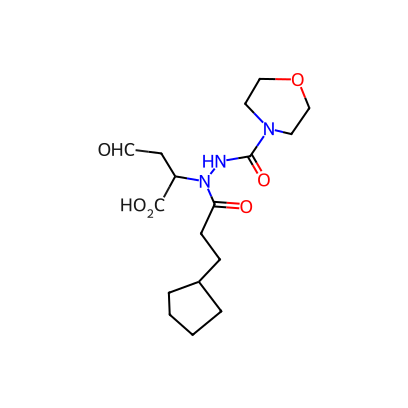 O=CCC(C(=O)O)N(NC(=O)N1CCOCC1)C(=O)CCC1CCCC1